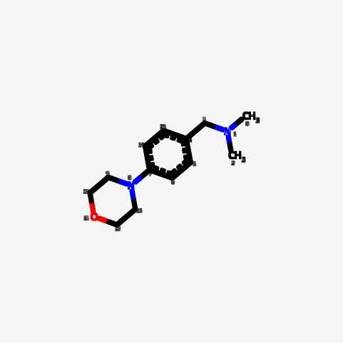 CN(C)Cc1ccc(N2CCOCC2)cc1